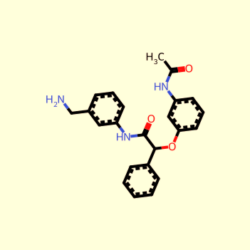 CC(=O)Nc1cccc(OC(C(=O)Nc2cccc(CN)c2)c2ccccc2)c1